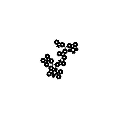 CC1(C)c2ccccc2-c2ccc(N(c3ccc4c(c3)C3(c5ccccc5-4)c4ccccc4C(C)(C)c4ccccc43)c3ccc4c5ccc(-c6cccc7c6C(C)(C)c6cc(N(c8ccc9c(c8)C(c8ccccc8)(c8ccccc8)c8ccccc8-9)c8ccc9c(c8)C8(c%10ccccc%10-9)c9ccccc9C(c9ccccc9)(c9ccccc9)c9ccccc98)ccc6-7)cc5c5ccccc5c4c3)cc21